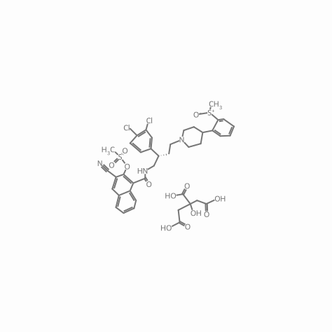 C[S+]([O-])c1ccccc1C1CCN(CC[C@H](CNC(=O)c2c(OS(C)(=O)=O)c(C#N)cc3ccccc23)c2ccc(Cl)c(Cl)c2)CC1.O=C(O)CC(O)(CC(=O)O)C(=O)O